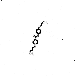 CCCCC[Si@H]1CC[C@H](C(=O)Oc2ccc(OCCC)cc2)CC1